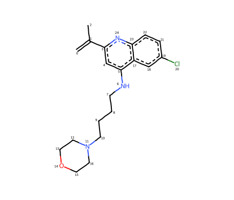 C=C(C)c1cc(NCCCCN2CCOCC2)c2cc(Cl)ccc2n1